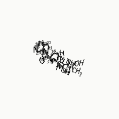 CC(CO)NC(=N)c1c(O)nsc1Nc1ccc(C(=O)n2ccc3ncncc32)cn1